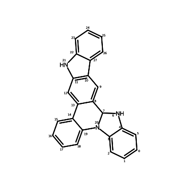 c1ccc2c(c1)NC1c3cc4c(cc3-c3ccccc3N21)[nH]c1ccccc14